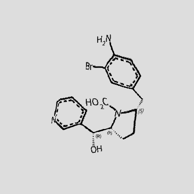 Nc1ccc(C[C@@H]2CC[C@H]([C@H](O)c3cccnc3)N2C(=O)O)cc1Br